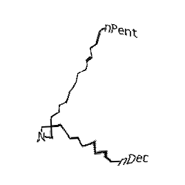 CCCCCC=CCC=CCCCCCCCCC1(CCCCCCCCCCCCCCCCCC)CN(C)C1